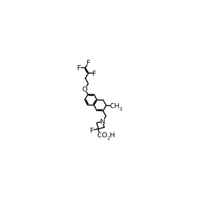 CC1Cc2cc(OCCC(F)=C(F)F)ccc2C=C1CN1CC(F)(C(=O)O)C1